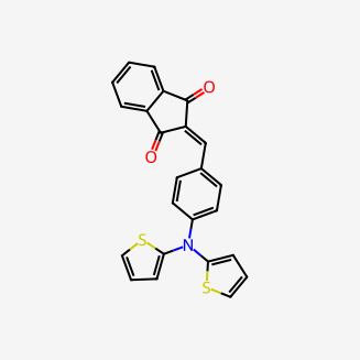 O=C1C(=Cc2ccc(N(c3cccs3)c3cccs3)cc2)C(=O)c2ccccc21